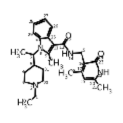 CCN1CCC(C(C)n2c(C)c(C(=O)NCc3c(C)cc(C)[nH]c3=O)c3ccccc32)CC1